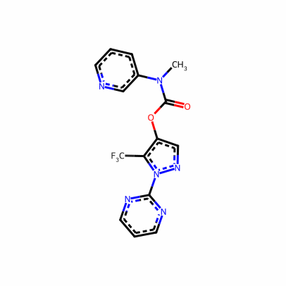 CN(C(=O)Oc1cnn(-c2ncccn2)c1C(F)(F)F)c1cccnc1